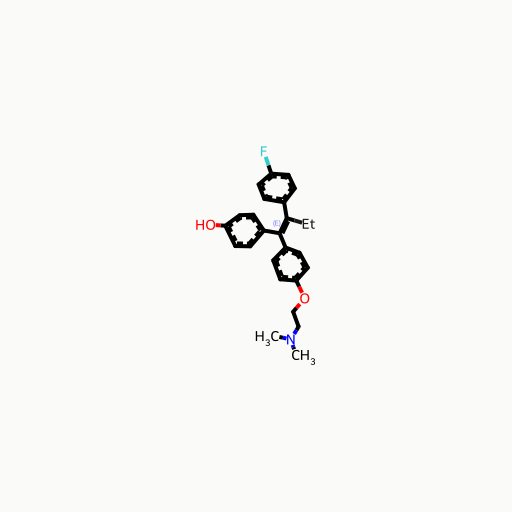 CC/C(=C(/c1ccc(O)cc1)c1ccc(OCCN(C)C)cc1)c1ccc(F)cc1